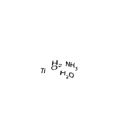 N.O.O.[Ti]